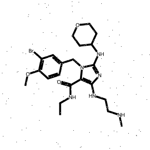 CCNC(=O)c1c(NCCNC)nc(NC2CCOCC2)n1Cc1ccc(OC)c(Br)c1